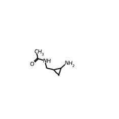 CC(=O)NCC1CC1N